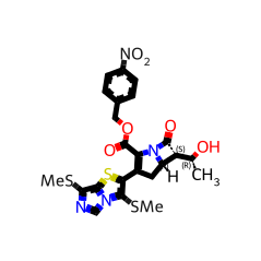 CSc1ncn2c(SC)c(C3=C(C(=O)OCc4ccc([N+](=O)[O-])cc4)N4C(=O)[C@H]([C@@H](C)O)[C@H]4C3)sc12